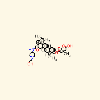 C=C(C)[C@@H]1CC[C@]2(CC(=O)NC3CCN(CCO)CC3)CC[C@]3(C)[C@H](CC[C@@H]4[C@@]5(C)CC[C@H](OC(=O)CC(C)(C)CC(=O)O)C(C)(C)[C@@H]5CC[C@]43C)[C@@H]12